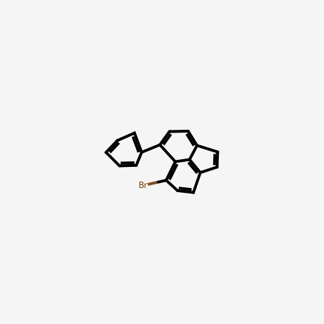 Brc1ccc2c3c(ccc(-c4ccccc4)c13)C=C2